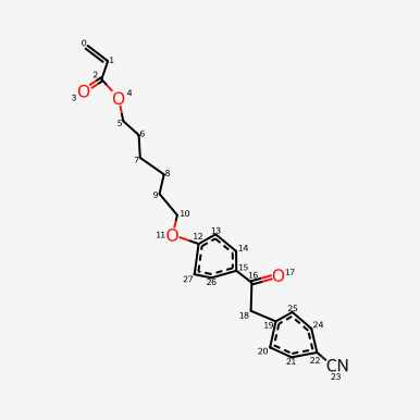 C=CC(=O)OCCCCCCOc1ccc(C(=O)Cc2ccc(C#N)cc2)cc1